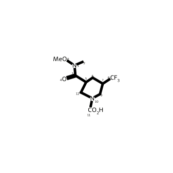 CON(C)C(=O)C1CC(C(F)(F)F)CN(C(=O)O)C1